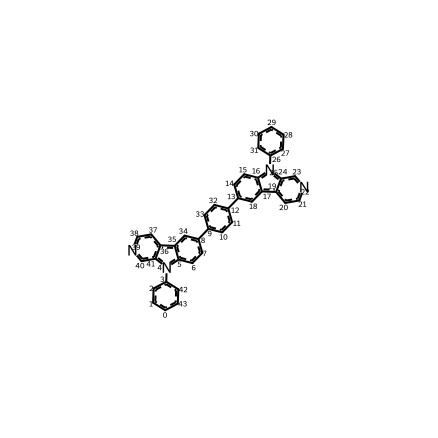 c1ccc(-n2c3ccc(-c4ccc(-c5ccc6c(c5)c5ccncc5n6-c5ccccc5)cc4)cc3c3ccncc32)cc1